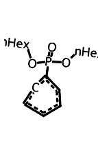 CCCCCCOP(=O)(OCCCCCC)c1ccccc1